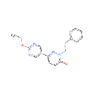 O=c1ccc(-c2cnc(OCC(F)(F)F)nc2)nn1CCc1ccccc1